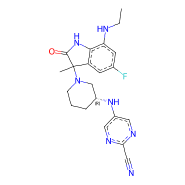 CCNc1cc(F)cc2c1NC(=O)C2(C)N1CCC[C@@H](Nc2cnc(C#N)nc2)C1